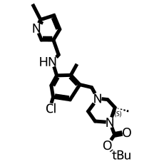 Cc1ccc(CNc2cc(Cl)cc(CN3CCN(C(=O)OC(C)(C)C)[C@@H](C)C3)c2C)cn1